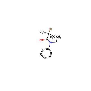 CCN(C(=O)C(C)(C)Br)c1ccccc1